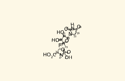 C[C@@H](C(=O)O)N(C)P(=O)(O)OC[C@@]1(F)O[C@@H](n2ccc(=O)[nH]c2=O)[C@H](O)[C@@H]1O